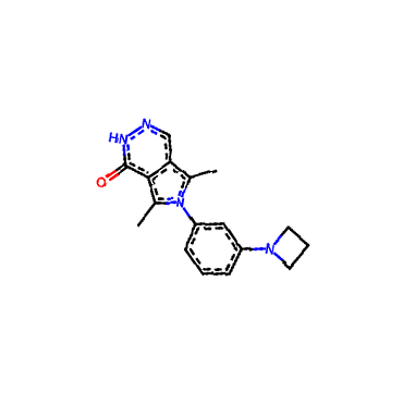 Cc1c2cn[nH]c(=O)c2c(C)n1-c1cccc(N2CCC2)c1